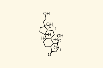 C[C@]12C(=O)CCC(=O)C1CC[C@@H]1[C@@H]2[C@@H](O)C[C@@]2(C)[C@H]1CC[C@]2(O)CCO